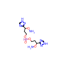 NOC(CCO[PH](=O)OCCC(ON)c1nc[nH]n1)c1nc[nH]n1